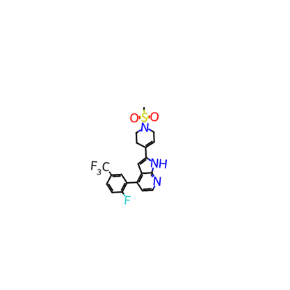 CS(=O)(=O)N1CC=C(c2cc3c(-c4cc(C(F)(F)F)ccc4F)ccnc3[nH]2)CC1